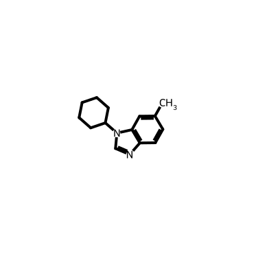 Cc1ccc2ncn(C3CCCCC3)c2c1